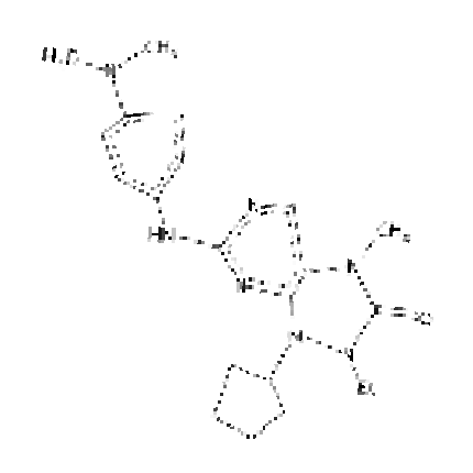 CCN1C(=O)N(C)c2cnc(Nc3ccc(N(C)C)cc3)nc2N1C1CCCC1